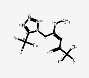 CO/C(=C/C(=O)C(Cl)(Cl)Cl)Cn1nnnc1C(F)(F)F